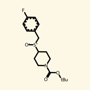 CC(C)(C)OC(=O)N1CCC([S+]([O-])Cc2ccc(F)cc2)CC1